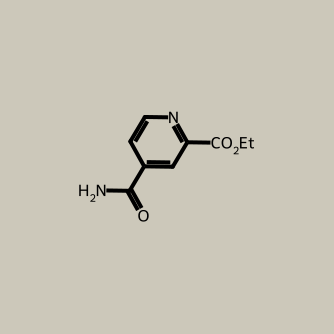 CCOC(=O)c1cc(C(N)=O)ccn1